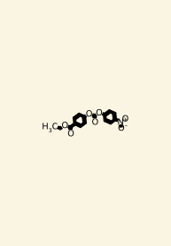 CCOC(=O)c1ccc(OC(=O)Oc2ccc([N+](=O)[O-])cc2)cc1